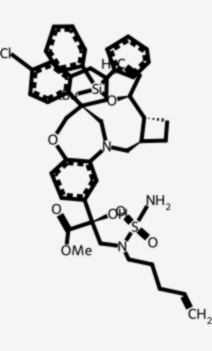 C=CCCCN(C[C@](O)(C(=O)OC)c1ccc2c(c1)N(C[C@@H]1CC[C@H]1[C@H](C=C)O[Si](c1ccccc1)(c1ccccc1)C(C)(C)C)C[C@@]1(CCCc3cc(Cl)ccc31)CO2)S(N)(=O)=O